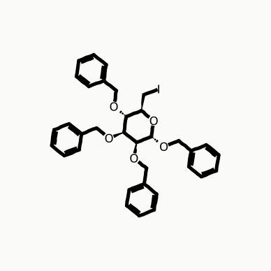 IC[C@H]1O[C@H](OCc2ccccc2)[C@@H](OCc2ccccc2)[C@@H](OCc2ccccc2)[C@@H]1OCc1ccccc1